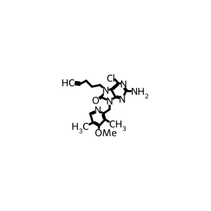 C#CCCCn1c(=O)n(Cc2ncc(C)c(OC)c2C)c2nc(N)nc(Cl)c21